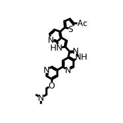 CC(=O)c1ccc(-c2ccnc3[nH]c(-c4n[nH]c5cnc(-c6cncc(OCCN(C)C)c6)cc45)cc23)s1